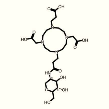 O=C(O)CCN1CCN(CC(=O)O)CCN(CCC(=O)N[C@@H]2COC(CO)[C@@H](O)C2O)CCN(CC(=O)O)CC1